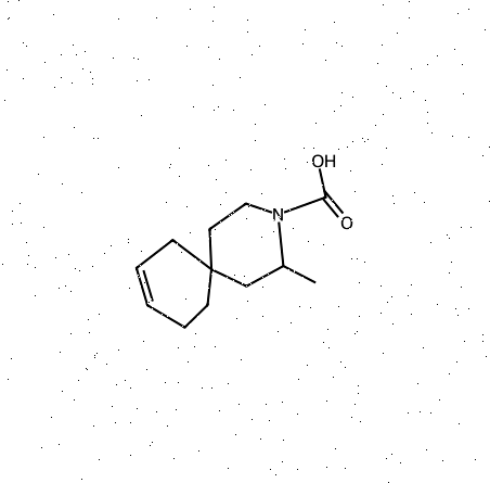 CC1CC2(CC=CCC2)CCN1C(=O)O